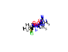 Cc1cc(C2=C[N+](C)(NC=O)C(C(=O)Nc3cc(C(=O)Nc4cc(C(=O)NCCC#N)n(C)c4)n(C)c3)=C2)ccc1SCCCl